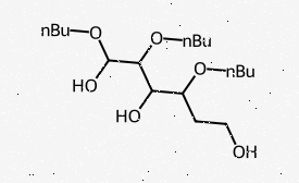 CCCCOC(O)C(OCCCC)C(O)C(CCO)OCCCC